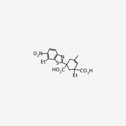 CCc1c([N+](=O)[O-])ccc2nc(C3(C(=O)O)CC(C)=CC(CC)(C(=O)O)C3)sc12